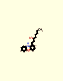 CCCCCC(Br)CCc1cccc2c1Nc1ccccc1O2